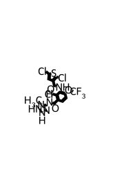 CN1NNN=C1NC(=O)c1ccc(OC(F)(F)F)c(NC(=O)c2cc(Cl)sc2Cl)c1Cl